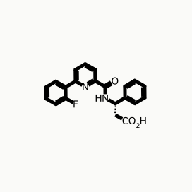 O=C(O)C[C@H](NC(=O)c1cccc(-c2ccccc2F)n1)c1ccccc1